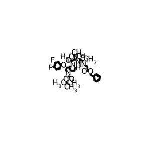 CC(NCC(=O)OCc1ccccc1)C(=O)NC(C(=O)N1CCC2C1C(Oc1ccc(F)c(F)c1)CN2C(=O)OC(C)(C)C)C(C)(C)C